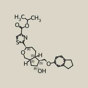 CC(C)OC(=O)c1csc([C@H]2CC[C@H]3[C@@H](CO2)C[C@@H](O)[C@@H]3COc2ccc3c(c2)CCC3)n1